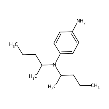 CCCC(C)N(c1ccc(N)cc1)C(C)CCC